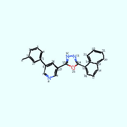 Cc1cccc(-c2cncc(-c3nnc(-c4cccc5ccccc45)o3)c2)c1